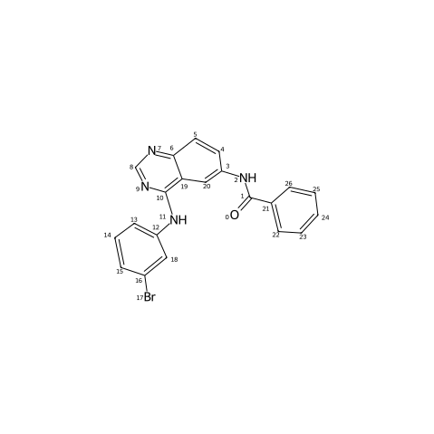 O=C(Nc1ccc2ncnc(Nc3cccc(Br)c3)c2c1)c1ccccc1